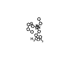 CC1(C)c2ccccc2-c2c(-c3cccc(-c4nc(-c5cccc(-c6ccccc6)c5)nc(-c5ccc6c(c5)oc5cccc(-c7cccc(-c8ccccc8)c7)c56)n4)c3)cccc21